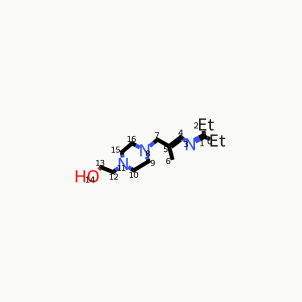 CCC(CC)=N/C=C(\C)CN1CCN(CCO)CC1